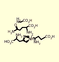 NC(=O)CCC(N)C(=O)O.NC(CCC(=O)O)C(=O)O.NC(Cc1c[nH]cn1)C(=O)O.NCC(=O)O